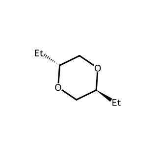 CC[C@@H]1CO[C@@H](CC)CO1